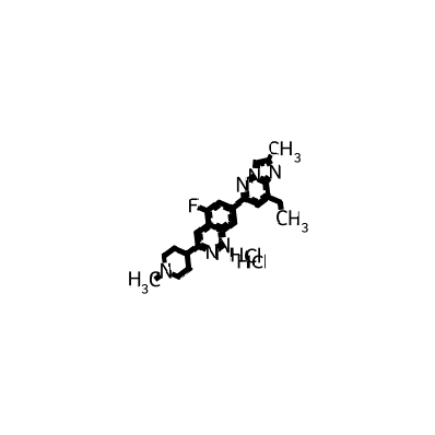 CCc1cc(-c2cc(F)c3cc(C4CCN(C)CC4)nnc3c2)nn2cc(C)nc12.Cl.Cl